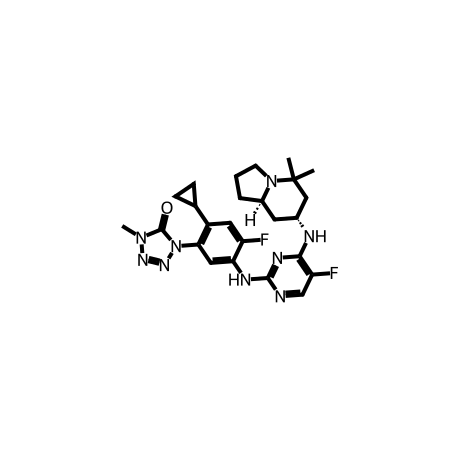 Cn1nnn(-c2cc(Nc3ncc(F)c(N[C@@H]4C[C@H]5CCCN5C(C)(C)C4)n3)c(F)cc2C2CC2)c1=O